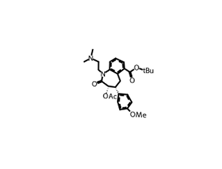 COc1ccc([C@H]2Cc3c(C(=O)OC(C)(C)C)cccc3N(CCN(C)C)C(=O)[C@H]2OC(C)=O)cc1